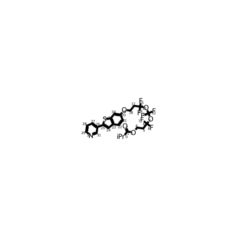 CC(C)C(=O)OCCC(F)(F)OC(F)(F)OC(F)(F)CCOc1ccc2cc(-c3cccnc3)sc2c1